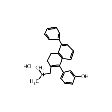 CN(C)CC1=C(c2cccc(O)c2)c2cccc(-c3ccccc3)c2CC1.Cl